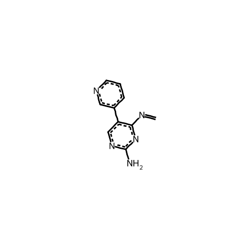 C=Nc1nc(N)ncc1-c1cccnc1